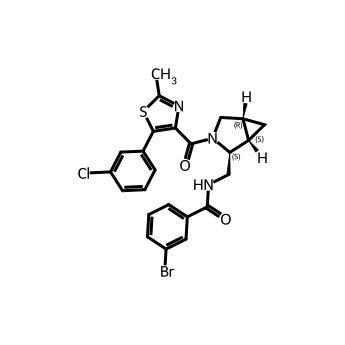 Cc1nc(C(=O)N2C[C@@H]3C[C@@H]3[C@H]2CNC(=O)c2cccc(Br)c2)c(-c2cccc(Cl)c2)s1